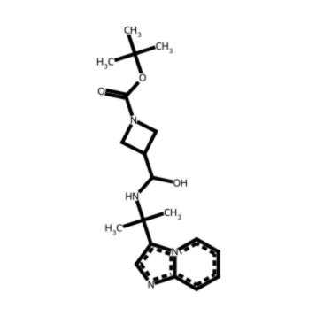 CC(C)(C)OC(=O)N1CC(C(O)NC(C)(C)c2cnc3ccccn23)C1